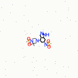 CN(c1cc(N2CCN(S(C)(=O)=O)C(C)(C)C2)c2cn[nH]c2c1)S(C)(=O)=O